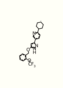 FC(F)(F)Oc1ccccc1COc1cc(-c2ccc(C3CC[CH]CC3)nc2)n[nH]1